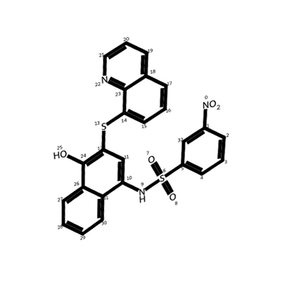 O=[N+]([O-])c1cccc(S(=O)(=O)Nc2cc(Sc3cccc4cccnc34)c(O)c3ccccc23)c1